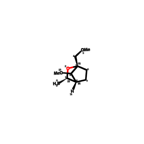 B[C@@H]1O[C@]2(COC)CC[C@H]1C2OC